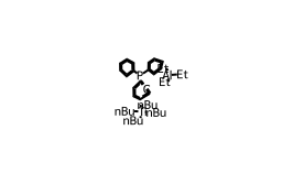 CCC[CH2][Ti]([CH2]CCC)([CH2]CCC)[CH2]CCC.C[CH2][Al]([CH2]C)[CH2]C.c1ccc(P(c2ccccc2)c2ccccc2)cc1